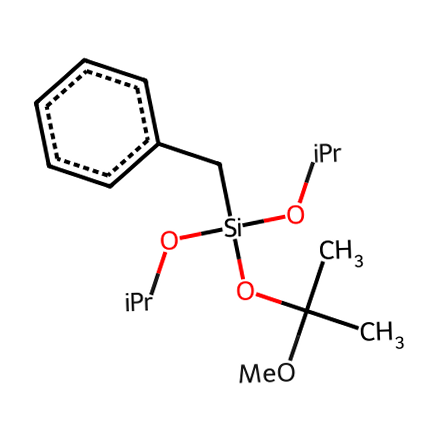 COC(C)(C)O[Si](Cc1ccccc1)(OC(C)C)OC(C)C